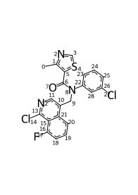 Cc1ncsc1C(=O)N(Cc1cnc(Cl)c2c(F)cccc12)c1cccc(Cl)c1